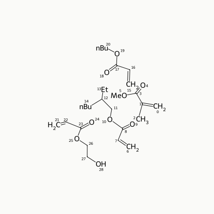 C=C(C)C(=O)OC.C=CC(=O)OCC(CC)CCCC.C=CC(=O)OCCCC.C=CC(=O)OCCO